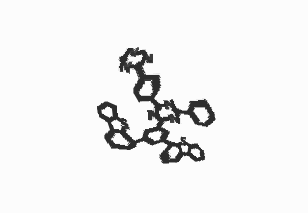 c1ccc(-c2nc(-c3ccc(-c4ncncn4)cc3)nc(-c3cc(-c4cccc5c4sc4ccccc45)cc(-c4cccc5c4sc4ccccc45)c3)n2)cc1